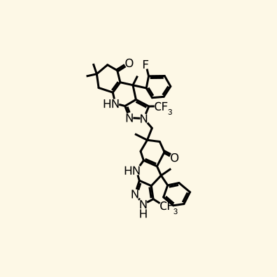 CC1(C)CC(=O)C2=C(C1)Nc1nn(CC3(C)CC(=O)C4=C(C3)Nc3n[nH]c(C(F)(F)F)c3C4(C)c3ccccc3)c(C(F)(F)F)c1C2(C)c1ccccc1F